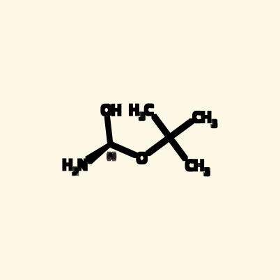 CC(C)(C)O[C@@H](N)O